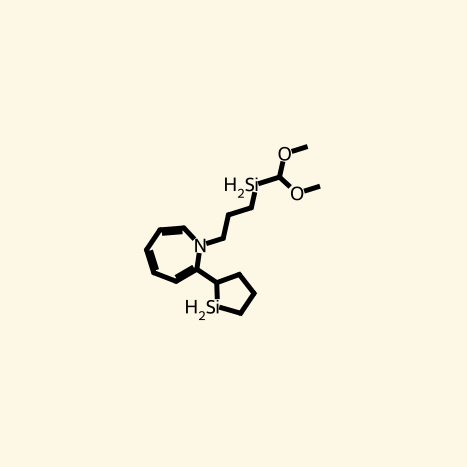 COC(OC)[SiH2]CCCN1C=CC=CC=C1C1CCC[SiH2]1